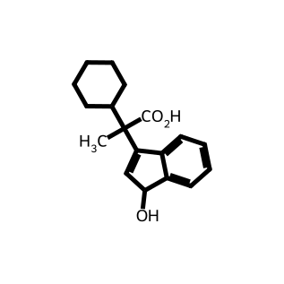 CC(C(=O)O)(C1=CC(O)c2ccccc21)C1CCCCC1